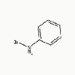 Br[SiH2]c1ccccc1